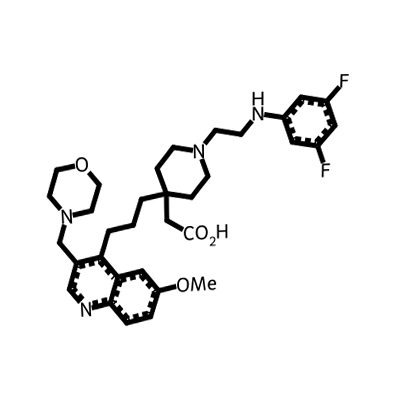 COc1ccc2ncc(CN3CCOCC3)c(CCCC3(CC(=O)O)CCN(CCNc4cc(F)cc(F)c4)CC3)c2c1